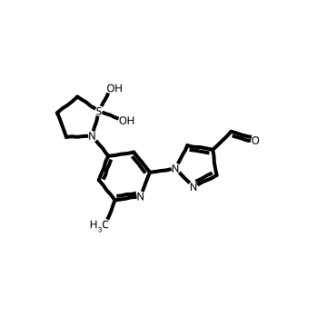 Cc1cc(N2CCCS2(O)O)cc(-n2cc(C=O)cn2)n1